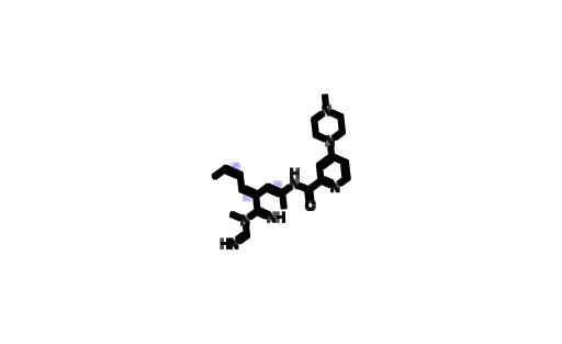 C\C=C/C=C(\C=C(/C)NC(=O)c1cc(N2CCN(C)CC2)ccn1)C(=N)N(C)C=N